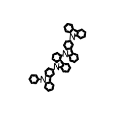 c1ccc(-n2c3ccccc3c3cc(-n4c5ccccc5c5c(-n6c7ccccc7c7cc(-n8c9ccccc9c9ccccc98)ccc76)cccc54)ccc32)cc1